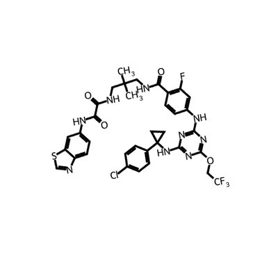 CC(C)(CNC(=O)C(=O)Nc1ccc2ncsc2c1)CNC(=O)c1ccc(Nc2nc(NC3(c4ccc(Cl)cc4)CC3)nc(OCC(F)(F)F)n2)cc1F